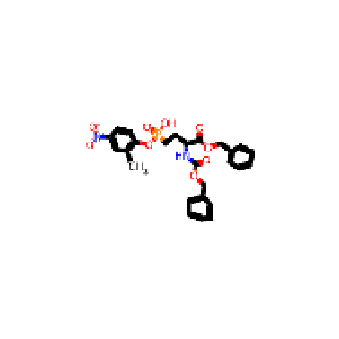 Cc1cc([N+](=O)[O-])ccc1OP(=O)(O)CCC(NC(=O)OCc1ccccc1)C(=O)OCc1ccccc1